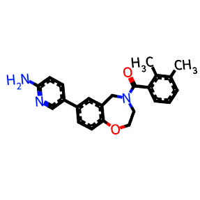 Cc1cccc(C(=O)N2CCOc3ccc(-c4ccc(N)nc4)cc3C2)c1C